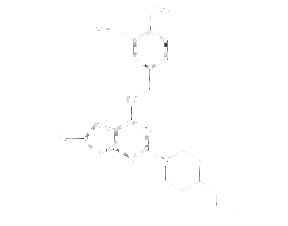 COc1ccc(CNc2nc(N3CCC(OC(=O)O)CC3)nc3sc([N+](=O)[O-])cc23)cc1OC